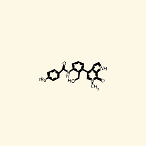 Cn1cc(-c2cccc(NC(=O)c3ccc(C(C)(C)C)cc3)c2CO)c2cc[nH]c2c1=O